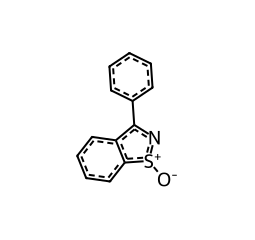 [O-][s+]1nc(-c2ccccc2)c2ccccc21